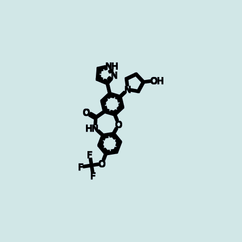 O=C1Nc2cc(OC(F)(F)F)ccc2Oc2cc(N3CCC(O)C3)c(-c3cc[nH]n3)cc21